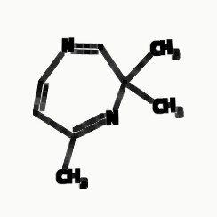 CC1=NC(C)(C)C=NC=C1